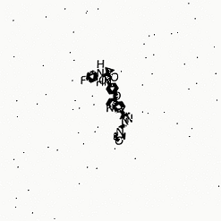 O=C(Nc1ccc(F)cc1)C1(C(=O)Nc2ccc(Oc3ccnc4cc(-c5cnn(CCN6CCOCC6)c5)ccc34)cc2)CC1